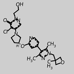 Cc1nn(CC2(C)COC2)c(C)c1-c1ccnc(O[C@@H]2CCN(c3cnn(CCO)c(=O)c3Cl)C2)c1